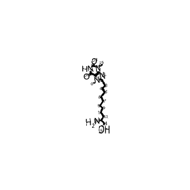 Cn1c(CCCCCCCCCC(N)CO)nc2c1c(=O)[nH]c(=O)n2C